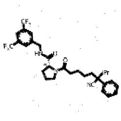 CC(C)C(C#N)(CCCCC(=O)N1CCC[C@@H]1C(=O)NCc1cc(C(F)(F)F)cc(C(F)(F)F)c1)c1ccccc1